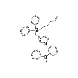 C=CCCCC[Si](Cn1ccnc1)(c1ccccc1)c1ccccc1.CB(c1ccccc1)c1ccccc1